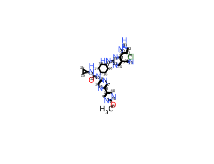 COc1ncc(-c2cnc(N(C(=O)NC3CC3)C3CCC(Nc4ncc(C#N)c(-c5n[nH]cc5Cl)n4)CC3)cn2)cn1